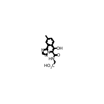 Cc1ccc2c(O)c(C(=O)NCC(=O)O)n3ncnc3c2c1